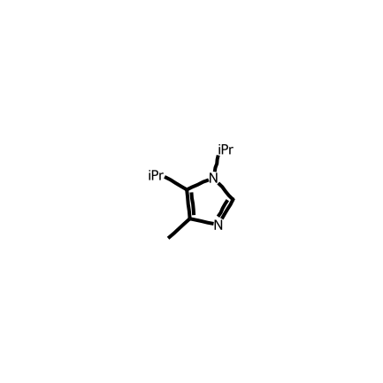 Cc1ncn(C(C)C)c1C(C)C